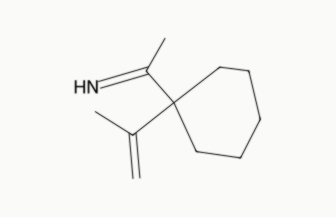 C=C(C)C1(C(C)=N)CCCCC1